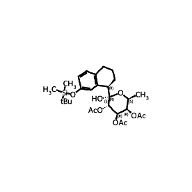 CC(=O)O[C@@H]1[C@H](OC(C)=O)[C@H](C)O[C@](O)([C@@H]2CCCc3ccc(O[Si](C)(C)C(C)(C)C)cc32)[C@H]1OC(C)=O